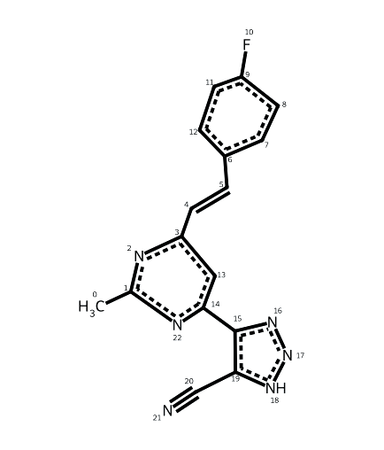 Cc1nc(/C=C/c2ccc(F)cc2)cc(-c2nn[nH]c2C#N)n1